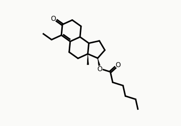 CCCCCC(=O)O[C@@H]1CCC2C3CCC(=O)C(CC)=C3CC[C@]21C